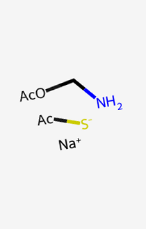 CC(=O)OCN.CC(=O)[S-].[Na+]